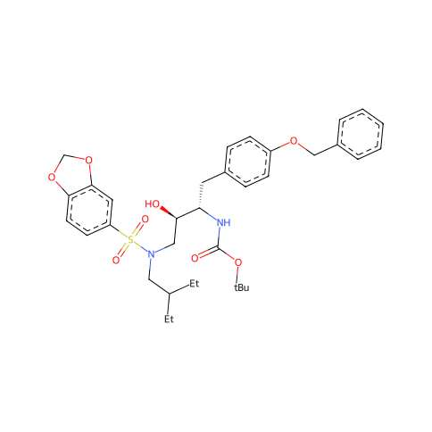 CCC(CC)CN(C[C@@H](O)[C@H](Cc1ccc(OCc2ccccc2)cc1)NC(=O)OC(C)(C)C)S(=O)(=O)c1ccc2c(c1)OCO2